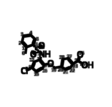 Cc1ccccc1S(=O)(=O)Nc1cc(Cl)ccc1OCc1ccc(C(=O)O)cc1